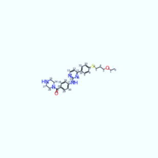 CCOCCCSc1ccc(-c2ccnc(Nc3ccc(C(=O)N4CCNCC4)cc3)n2)cc1